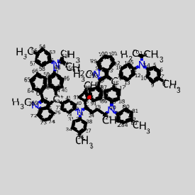 C=C(C)N(c1ccc(C)cc1)c1ccc([C+](c2ccc(N(C(=C)C/C=C(\C3C=C(C)C3)N(c3ccc(C)cc3)c3ccc([C+](c4ccc(N(C(=C)C)c5ccc(C)cc5)cc4)c4c(-c5ccccc5)n(C)c5ccccc45)cc3)c3ccc(C)cc3)cc2)c2c(-c3ccccc3)n(C)c3ccccc23)cc1